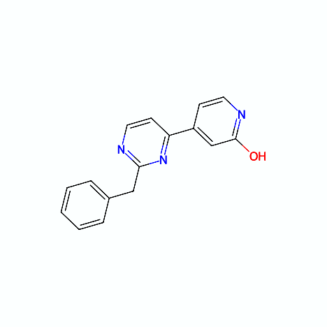 Oc1cc(-c2ccnc(Cc3ccccc3)n2)ccn1